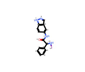 O=C(Nc1ccc2[nH]ncc2c1)C(NI)c1ccccc1